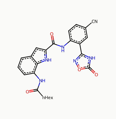 CCCCCCC(=O)Nc1cccc2cc(C(=O)Nc3ccc(C#N)cc3-c3noc(=O)[nH]3)[nH]c12